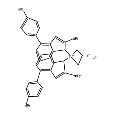 CCCC1=Cc2c(-c3ccc(CCC)cc3)cccc2[CH]1[Ti+2]1([CH]2C(CCC)=Cc3c(-c4ccc(CCC)cc4)cccc32)[CH2]C[CH2]1.[Cl-].[Cl-]